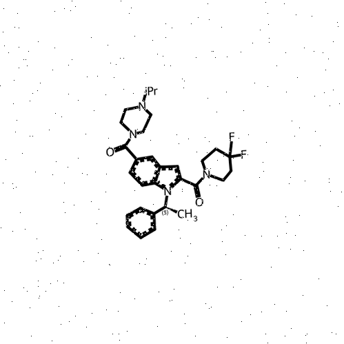 CC(C)N1CCN(C(=O)c2ccc3c(c2)cc(C(=O)N2CCC(F)(F)CC2)n3[C@@H](C)c2ccccc2)CC1